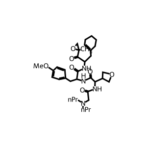 CCCN(CCC)CC(=O)NC(C(=O)NC(Cc1ccc(OC)cc1)C(=O)NC(CC1=CCCCC1)C(=O)C1(C)CO1)C1COC1